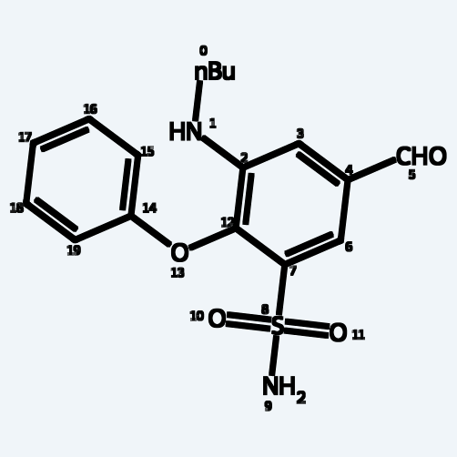 CCCCNc1cc(C=O)cc(S(N)(=O)=O)c1Oc1ccccc1